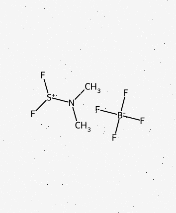 CN(C)[S+](F)F.F[B-](F)(F)F